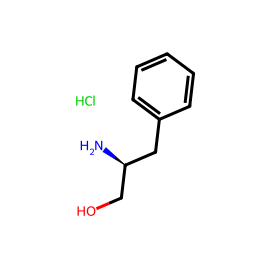 Cl.N[C@H](CO)Cc1ccccc1